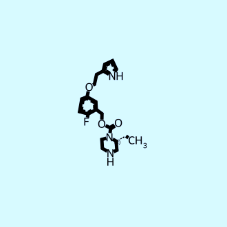 CC[C@@H]1CNCCN1C(=O)OCc1cc(OCCc2ccc[nH]2)ccc1F